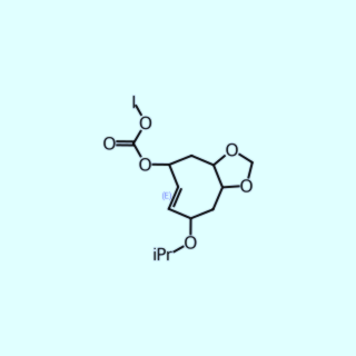 CC(C)OC1/C=C/C(OC(=O)OI)CC2OCOC2C1